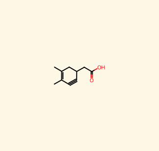 CC1=C(C)CC(CC(=O)O)C#C1